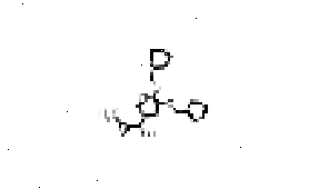 CC1CC1C(O)c1cc(OCc2ccccc2)c(OCc2ccccc2)nn1